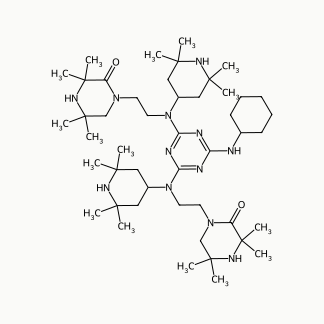 CC1(C)CC(N(CCN2CC(C)(C)NC(C)(C)C2=O)c2nc(NC3CCCCC3)nc(N(CCN3CC(C)(C)NC(C)(C)C3=O)C3CC(C)(C)NC(C)(C)C3)n2)CC(C)(C)N1